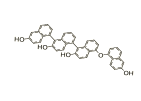 Oc1ccc2c(Oc3cccc4c(-c5cccc6c(-c7cccc8cc(O)ccc78)c(O)ccc56)c(O)ccc34)cccc2c1